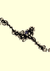 C=CC(=O)OCCCCCCOc1ccc(C(=O)Oc2ccc(OC(=O)c3ccc(OCCCCCCOC(=O)C=C)cc3)c(/C=N/Nc3nncc4ccccc34)c2)cc1